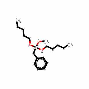 CCCCCO[Si](Cc1ccccc1)(OC)OCCCCC